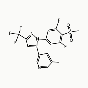 Cc1cncc(-c2cc(C(F)(F)F)nn2-c2cc(F)c(S(C)(=O)=O)c(F)c2)c1